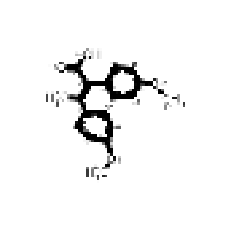 COc1ccc(/C(C)=C(/C(=O)O)c2ccc(OC)cc2)cc1